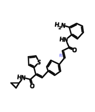 Nc1ccccc1NC(=O)/C=C/c1ccc(C=C(C(=O)NC2CC2)c2cccs2)cc1